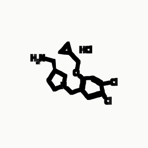 Cl.NC[C@@H]1CCN(Cc2cc(Cl)c(Cl)cc2OCC2CC2)C1